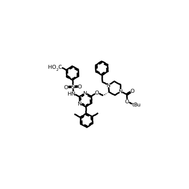 Cc1cccc(C)c1-c1cc(OC[C@H]2CN(C(=O)OC(C)(C)C)CCN2Cc2ccccc2)nc(NS(=O)(=O)c2cccc(C(=O)O)c2)n1